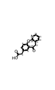 O=C(O)Cc1ccc2c(c1)C(=O)Cc1cccnc1O2